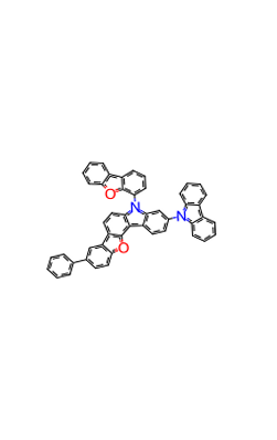 c1ccc(-c2ccc3oc4c(ccc5c4c4ccc(-n6c7ccccc7c7ccccc76)cc4n5-c4cccc5c4oc4ccccc45)c3c2)cc1